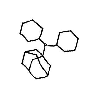 C1CCC(P(C2CCCCC2)C23CC4CC(CC(C4)C2)C3)CC1